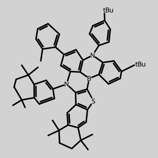 Cc1ccccc1-c1cc2c3c(c1)N(c1ccc4c(c1)C(C)(C)CCC4(C)C)c1c(sc4cc5c(cc14)C(C)(C)CCC5(C)C)B3c1ccc(C(C)(C)C)cc1N2c1ccc(C(C)(C)C)cc1